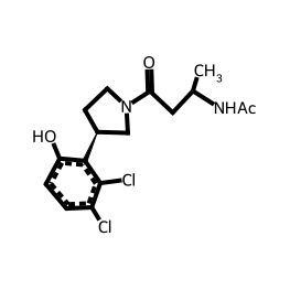 CC(=O)NC(C)CC(=O)N1CC[C@H](c2c(O)ccc(Cl)c2Cl)C1